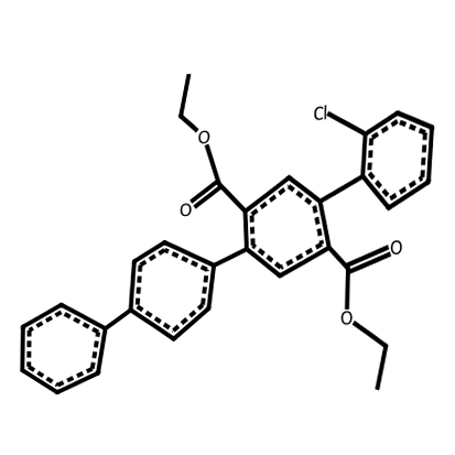 CCOC(=O)c1cc(-c2ccccc2Cl)c(C(=O)OCC)cc1-c1ccc(-c2ccccc2)cc1